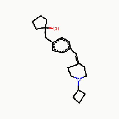 OC1(Cc2ccc(C=C3CCN(C4CCC4)CC3)cc2)CCCC1